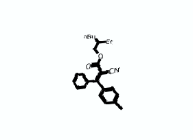 CCCCC(CC)COC(=O)/C(C#N)=C(\c1ccccc1)c1ccc(C)cc1